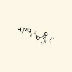 CCC(C)C(=O)OCCON